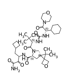 CC(C)(C)[C@H](NC(=O)N[C@H](C(=O)N1CCOCC1)C1CCCCC1)C(=O)N1C[C@]2(C[C@H]1C(=O)NC(CC1CCC1)C(=O)C(N)=O)C(C)(C)C21COC1